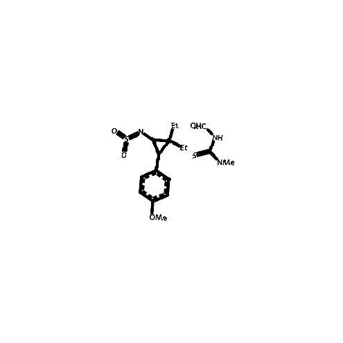 CCC1(CC)C(N=S(=O)=O)C1c1ccc(OC)cc1.CNC(=S)NC=O